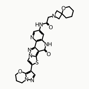 O=C(CN1CC2(CCCCO2)C1)Nc1cnc2c(c1)[nH]c(=O)c1c2nn2cc(-c3cnn4c3OCCC4)sc12